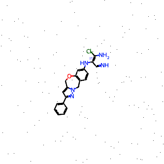 N=C/C(Nc1ccc2c(c1)OCc1cc(-c3ccccc3)nn1C2)=C(\N)Cl